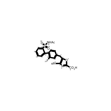 CCCc1nc(C(=O)O)oc1Cc1ccc(-c2ccccc2S(=O)(=O)NC(C)=O)c(F)c1